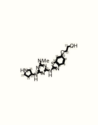 CNc1nc(Nc2nc3ccc(OCCO)cc3s2)nc(NC2CCNC2)n1